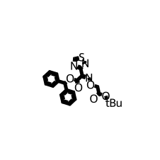 CC(C)(C)OC(=O)CO/N=C(\C(=O)OC(c1ccccc1)c1ccccc1)c1ncsn1